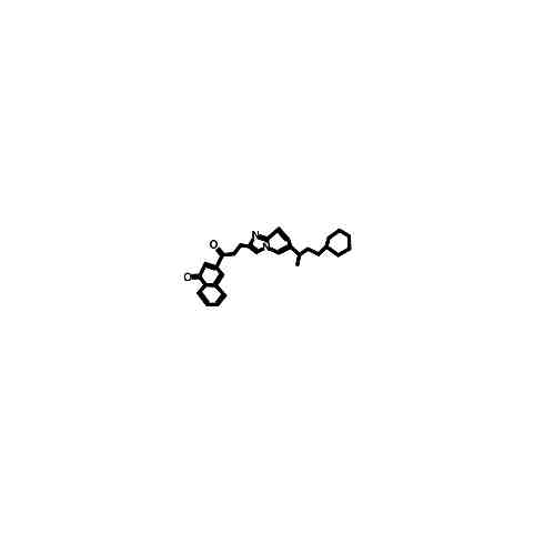 CC(CCC1CCCCC1)c1ccc2nc(CCC(=O)C3=CC(=O)C4C=CC=CC4=C3)cn2c1